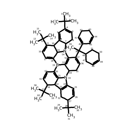 CC(C)(C)C1=CCC2C(=C1)C1C(C(C)(C)C)=CC=C3B4C5=C6C(C7=C(C=CC(C(C)(C)C)C7)N6C6CC=C(C(C)(C7=CCCC=C7)C7CC=CCC7)C(=C46)N2C31)C(C(C)(C)C)C=C5